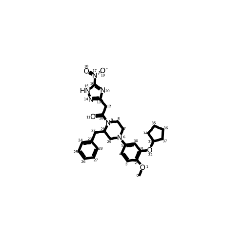 COc1ccc(N2CCN(C(=O)Cc3n[nH]c([N+](=O)[O-])n3)C(Cc3ccccc3)C2)cc1OC1CCCC1